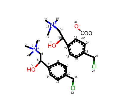 C[N+](C)(C)CC(O)c1ccc(CCl)cc1.C[N+](C)(C)CC(O)c1ccc(CCl)cc1.O=C([O-])[O-]